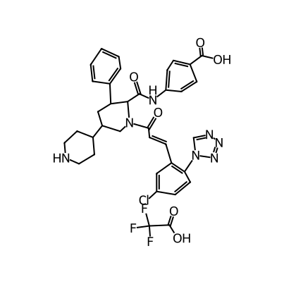 O=C(O)C(F)(F)F.O=C(O)c1ccc(NC(=O)C2C(c3ccccc3)CC(C3CCNCC3)CN2C(=O)/C=C/c2cc(Cl)ccc2-n2cnnn2)cc1